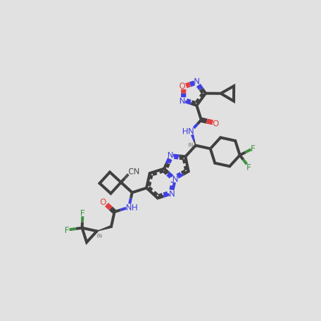 N#CC1(C(NC(=O)C[C@H]2CC2(F)F)c2cnn3cc([C@@H](NC(=O)c4nonc4C4CC4)C4CCC(F)(F)CC4)nc3c2)CCC1